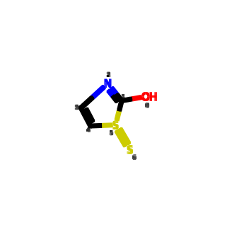 OC1=NC=CS1=S